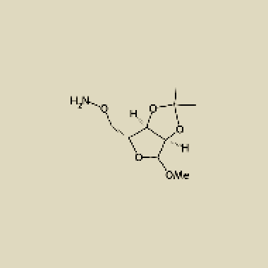 COC1O[C@H](CON)[C@H]2OC(C)(C)O[C@@H]12